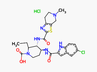 CCC1[C@H](NC(=O)c2nc3c(s2)CN(C)CC3)[C@@H](NC(=O)c2cc3cc(Cl)ccc3[nH]2)CCN1C(=O)O.Cl